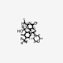 BC(O)(c1cccc(C(F)(F)F)c1C)n1c(CC)nc(=O)c2sc(N3CCOCC3)nc21